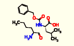 CC(C)C[C@H](NC(=O)OCc1ccccc1)C(=O)O.CCCC[C@H](N)C=O